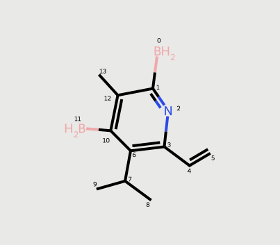 Bc1nc(C=C)c(C(C)C)c(B)c1C